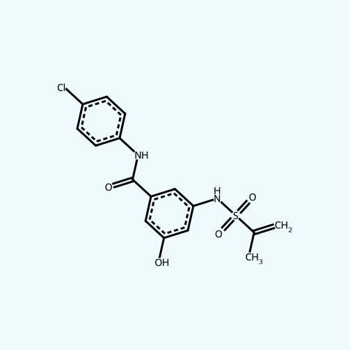 C=C(C)S(=O)(=O)Nc1cc(O)cc(C(=O)Nc2ccc(Cl)cc2)c1